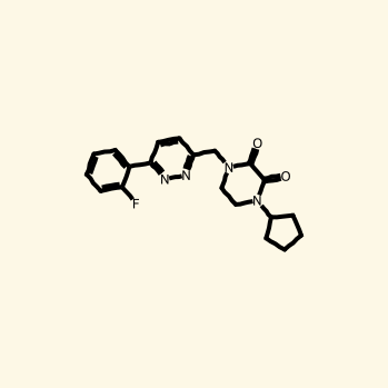 O=C1C(=O)N(C2CCCC2)CCN1Cc1ccc(-c2ccccc2F)nn1